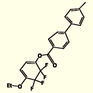 CCOC1=CC=C(OC(=O)c2ccc(-c3ccc(C)cc3)cc2)C(F)(F)C1(F)F